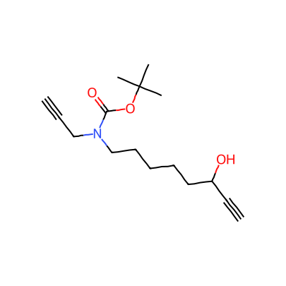 C#CCN(CCCCCC(O)C#C)C(=O)OC(C)(C)C